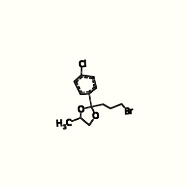 CC1COC(CCCBr)(c2ccc(Cl)cc2)O1